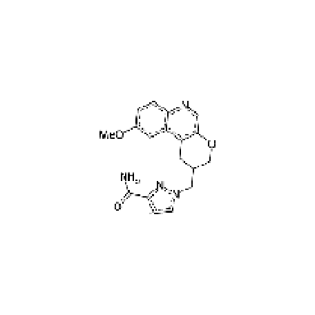 COc1ccc2ncc3c(c2c1)CC(Cn1c[c]c(C(N)=O)n1)CO3